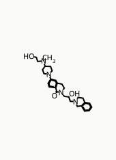 CN(CCO)C1CCN(c2ccc3c(c2)CCN(CC(O)CN2CCc4ccccc4C2)C3=O)CC1